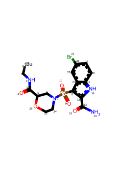 CC(C)(C)CNC(=O)C1CN(S(=O)(=O)c2c(C(N)=O)[nH]c3ccc(Br)cc23)CCO1